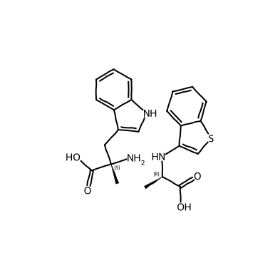 C[C@@H](Nc1csc2ccccc12)C(=O)O.C[C@](N)(Cc1c[nH]c2ccccc12)C(=O)O